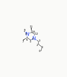 CCCCN1C[C@@H](C)N(C)[C@@H](C)C1